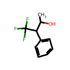 CC(O)C(c1ccccc1)C(F)(F)F